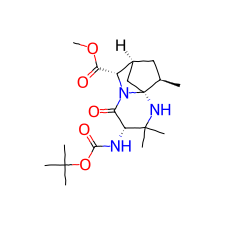 COC(=O)[C@@H]1[C@H]2C[C@@H](C)[C@@]3(C2)NC(C)(C)[C@H](NC(=O)OC(C)(C)C)C(=O)N13